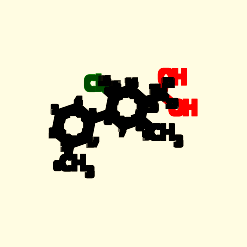 Cc1cccc(-c2cc(C)c(C(O)O)cc2Cl)c1